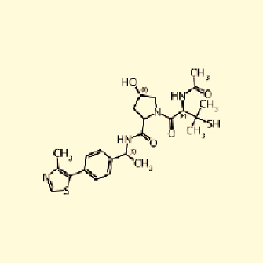 CC(=O)N[C@H](C(=O)N1C[C@H](O)CC1C(=O)N[C@@H](C)c1ccc(-c2scnc2C)cc1)C(C)(C)S